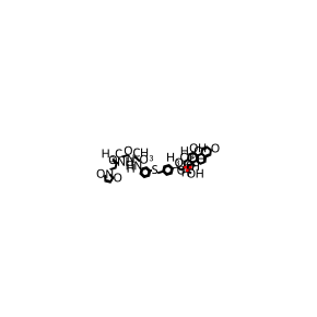 C[C@H](NC(=O)CCN1C(=O)C=CC1=O)C(=O)N[C@@H](C)C(=O)Nc1cccc(SCc2ccc([C@@H]3O[C@@H]4C[C@H]5[C@@H]6CCC7=CC(=O)C=C[C@]7(C)[C@@]6(F)[C@@H](O)C[C@]5(C)[C@]4(C(=O)CO)O3)cc2)c1